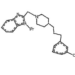 COc1cccc(CCCC2CCN(Cc3nc4ccccc4n3C(C)C)CC2)c1